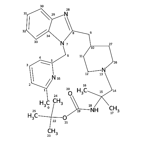 Cc1cccc(Cn2c(CC3CCN(CC(C)(C)NC(=O)OC(C)(C)C)CC3)nc3ccccc32)n1